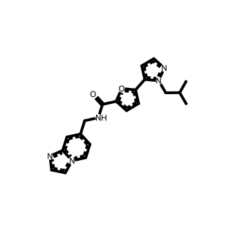 CC(C)Cn1nccc1-c1ccc(C(=O)NCc2ccn3ccnc3c2)o1